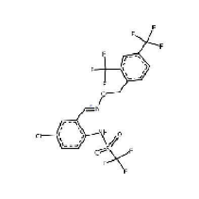 O=S(=O)(Nc1ccc(Cl)cc1/C=N/OCc1ccc(C(F)(F)F)cc1C(F)(F)F)C(F)(F)F